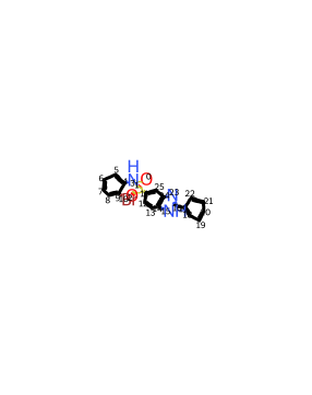 O=S(=O)(Nc1ccccc1Br)c1ccc2[nH]c(-c3ccccc3)nc2c1